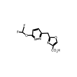 O=C(O)c1coc(Cc2ccc(OC(F)F)nn2)n1